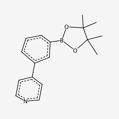 CC1(C)OB(c2cccc(-c3ccncc3)c2)OC1(C)C